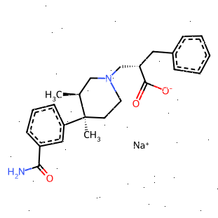 C[C@H]1CN(C[C@H](Cc2ccccc2)C(=O)[O-])CC[C@@]1(C)c1cccc(C(N)=O)c1.[Na+]